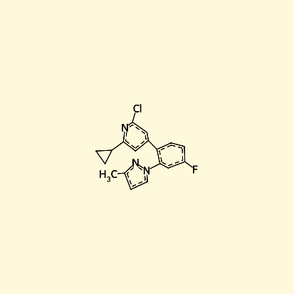 Cc1ccn(-c2cc(F)ccc2-c2cc(Cl)nc(C3CC3)c2)n1